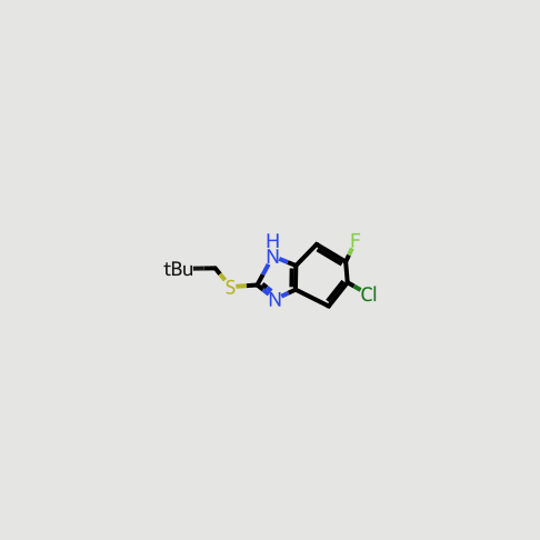 CC(C)(C)CSc1nc2cc(Cl)c(F)cc2[nH]1